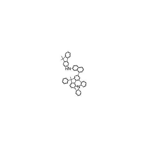 CC1(C)c2ccccc2-c2cc(Nc3ccc4cccc(-c5cc6c7c(c5)C(C)(c5ccccc5)c5ccc8c9ccccc9n(c8c5-7)-c5ccccc5-6)c4c3)ccc21